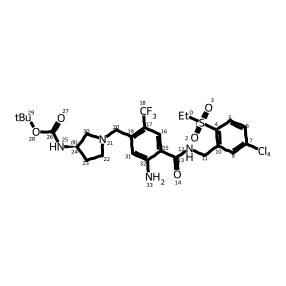 CCS(=O)(=O)c1ccc(Cl)cc1CNC(=O)c1cc(C(F)(F)F)c(CN2CC[C@@H](NC(=O)OC(C)(C)C)C2)cc1N